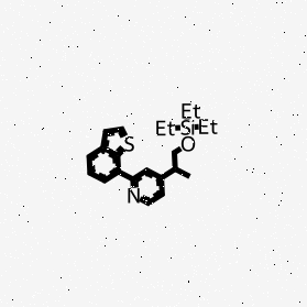 CC[Si](CC)(CC)OCC(C)c1ccnc(-c2cccc3ccsc23)c1